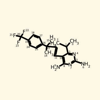 CC(C)c1nc(N)nc(N)c1C=CC(C)(C)c1ccc(C(F)(F)F)cc1